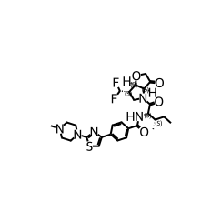 CC[C@H](C)[C@H](NC(=O)c1ccc(-c2csc(N3CCN(C)CC3)n2)cc1)C(=O)N1C[C@H](C(F)F)[C@H]2OCC(=O)[C@H]21